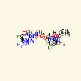 CCOc1cc(C(C)(C)C)ccc1C1=N[C@@](C)(c2ccc(Cl)cc2)[C@@](C)(c2ccc(Cl)cc2)N1C(=O)N1CCN(CCOCCOCCC(=O)N(C)CCn2nc3c(c2C#N)-c2cnc(N)c(n2)N2CCC[C@@H]2c2cc(F)ccc2C(=O)N(C)C3)CC1